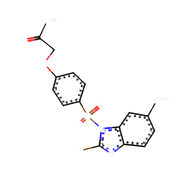 COC(=O)COc1ccc(S(=O)(=O)n2c(S)nc3ccc(OC)cc32)cc1